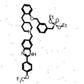 CCOP(=O)(Cc1cccc(COc2ccccc2CC2CCN(Cc3ccc4nc(-c5ccc(OC(F)(F)F)cc5)[nH]c4c3)CC2)c1)OCC